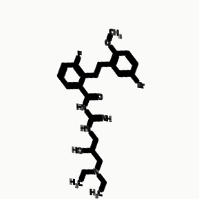 CCN(CC)CC(O)CNC(=N)NC(=O)c1cccc(F)c1CCc1cc(Br)ccc1OC